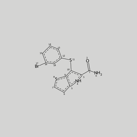 NC(=O)c1[nH]c2ccsc2c1Sc1cccc(Br)c1